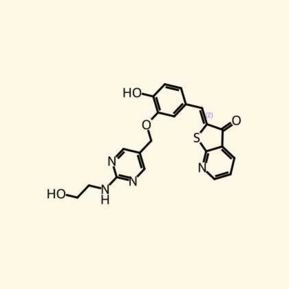 O=C1/C(=C/c2ccc(O)c(OCc3cnc(NCCO)nc3)c2)Sc2ncccc21